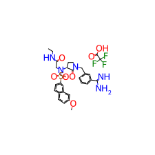 CCNC(=O)CN([C@H]1CCN(Cc2cccc(C(=N)N)c2)C1=O)S(=O)(=O)c1ccc2ccc(OC)cc2c1.O=C(O)C(F)(F)F